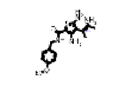 CCOc1ccc(CNC(=O)c2sc(N)c(/C(C)=C(/C)N)c2N)cc1